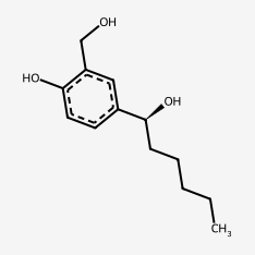 CCCCC[C@H](O)c1ccc(O)c(CO)c1